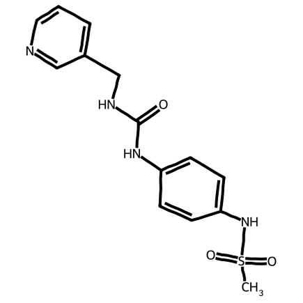 CS(=O)(=O)Nc1ccc(NC(=O)NCc2cccnc2)cc1